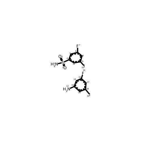 NS(=O)(=O)c1cc(F)cc(I)c1.Nc1cc(F)cc(I)c1